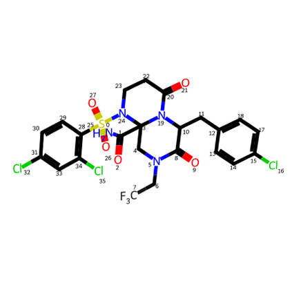 NC(=O)C12CN(CC(F)(F)F)C(=O)C(Cc3ccc(Cl)cc3)N1C(=O)[C]CN2S(=O)(=O)c1ccc(Cl)cc1Cl